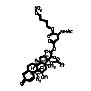 CCC(=O)O[C@@]1(C(=O)COC(=O)CC(NC(C)=O)C(=O)OCCCCO[N+](=O)[O-])[C@@H](C)C[C@H]2[C@@H]3CCC4=CC(=O)C=C[C@]4(C)[C@@]3(Cl)[C@@H](O)C[C@@]21C